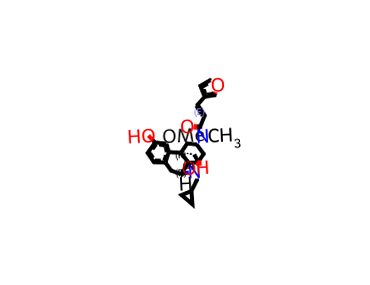 COc1c(O)ccc2c1[C@]13CCN(CC4CC4)[C@H](C2)[C@]1(O)CCC(N(C)C(=O)/C=C/c1ccoc1)C3